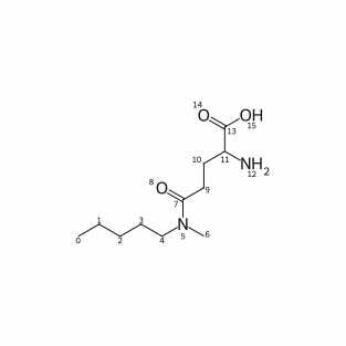 CCCCCN(C)C(=O)CCC(N)C(=O)O